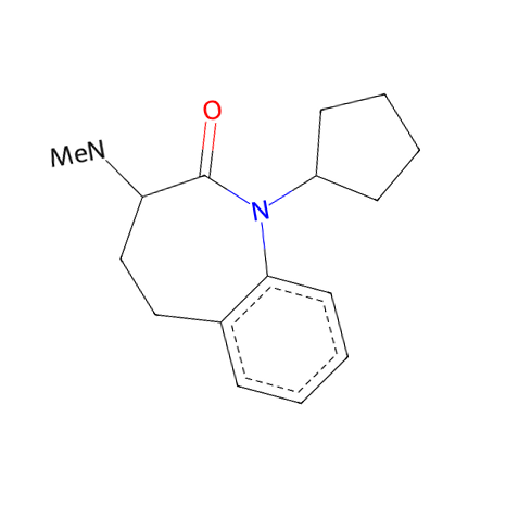 CNC1CCc2ccccc2N(C2CCCC2)C1=O